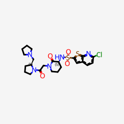 O=C1[C@@H](NS(=O)(=O)c2cc3ccc(Cl)nc3s2)CCCN1CC(=O)N1CCC[C@H]1CN1CCCC1